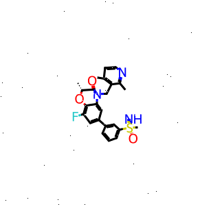 Cc1ccnc(C)c1CN1C(=O)[C@@H](C)Oc2c(F)cc(-c3cccc(S(C)(=N)=O)c3)cc21